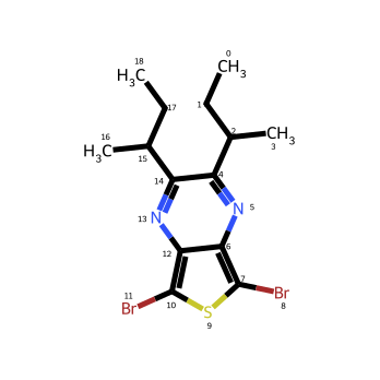 CCC(C)c1nc2c(Br)sc(Br)c2nc1C(C)CC